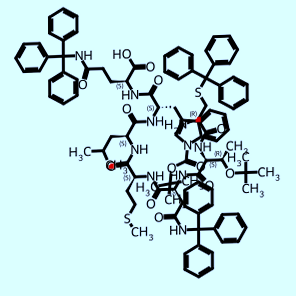 CSCC[C@H](NC(=O)[C@H](CC(=O)NC(c1ccccc1)(c1ccccc1)c1ccccc1)NC(=O)[C@@H](NC(=O)[C@@H](N)CSC(c1ccccc1)(c1ccccc1)c1ccccc1)[C@@H](C)OC(C)(C)C)C(=O)N[C@@H](CC(C)C)C(=O)N[C@@H](Cc1cn(C(=O)OC(C)(C)C)c2ccccc12)C(=O)N[C@@H](CCC(=O)NC(c1ccccc1)(c1ccccc1)c1ccccc1)C(=O)O